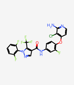 Nc1nccc(Oc2ccc(NC(=O)c3cnn(-c4c(F)cccc4F)c3C(F)(F)F)cc2F)c1Cl